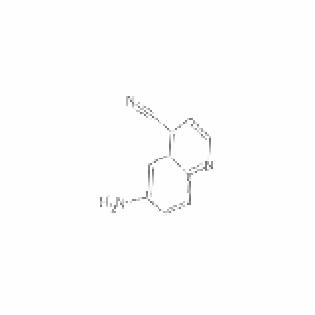 N#Cc1ccnc2ccc(N)cc12